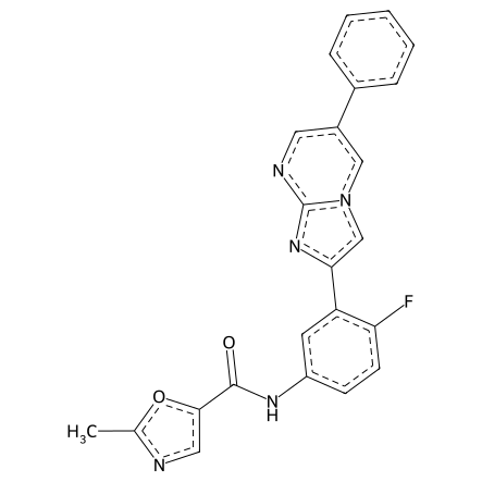 Cc1ncc(C(=O)Nc2ccc(F)c(-c3cn4cc(-c5ccccc5)cnc4n3)c2)o1